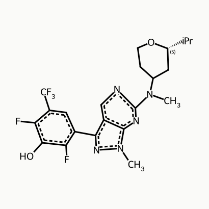 CC(C)[C@@H]1CC(N(C)c2ncc3c(-c4cc(C(F)(F)F)c(F)c(O)c4F)nn(C)c3n2)CCO1